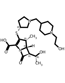 C[C@@H](O)[C@H]1C(=O)N2C(C(=O)O)=C(S[C@@H]3CCN(CC4CCN(CCO)CC4)C3)[C@H](C)[C@H]12